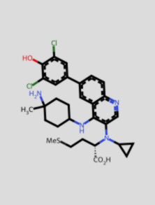 CSCC[C@@H](C(=O)O)N(c1cnc2ccc(-c3cc(Cl)c(O)c(Cl)c3)cc2c1NC1CCC(C)(N)CC1)C1CC1